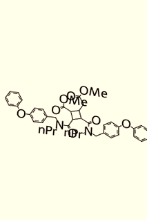 CCCN(Cc1ccc(Oc2ccccc2)cc1)C(=O)C1C(CC(=O)OC)C(C(=O)OC)C1C(=O)N(CCC)Cc1ccc(Oc2ccccc2)cc1